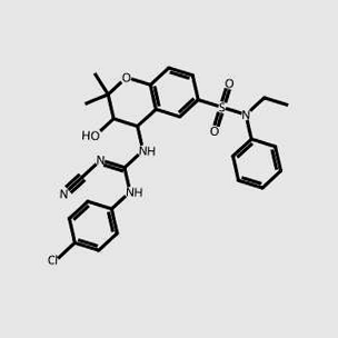 CCN(c1ccccc1)S(=O)(=O)c1ccc2c(c1)C(NC(=NC#N)Nc1ccc(Cl)cc1)C(O)C(C)(C)O2